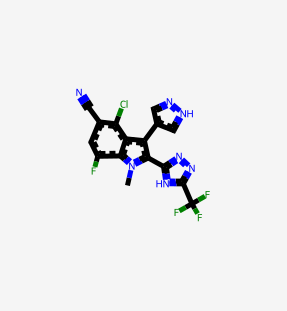 Cn1c(-c2nnc(C(F)(F)F)[nH]2)c(-c2cn[nH]c2)c2c(Cl)c(C#N)cc(F)c21